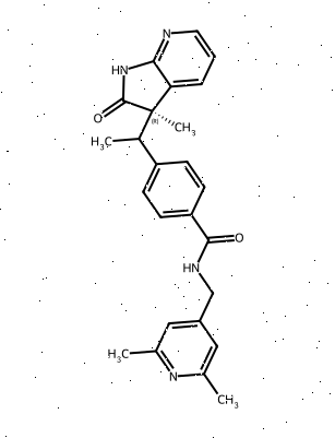 Cc1cc(CNC(=O)c2ccc(C(C)[C@@]3(C)C(=O)Nc4ncccc43)cc2)cc(C)n1